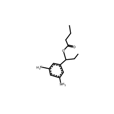 CCCC(=O)OC(CC)c1cc(N)cc(N)c1